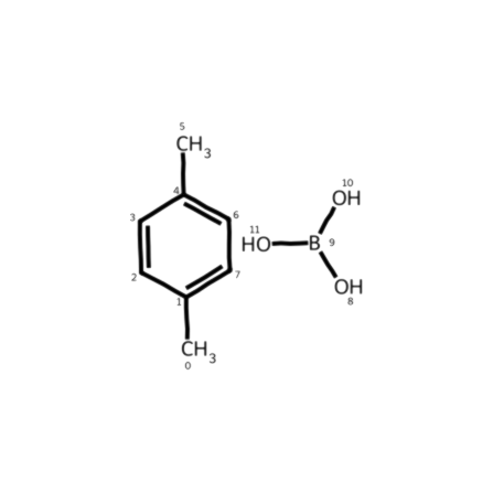 Cc1ccc(C)cc1.OB(O)O